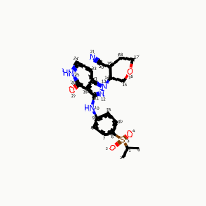 CC(C)S(=O)(=O)c1ccc(Nc2nn(C3COCCC3C#N)c3cc[nH]c(=O)c23)cc1